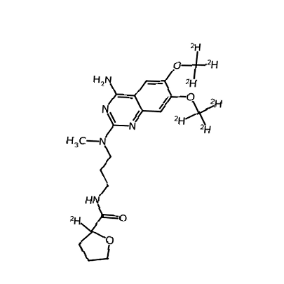 [2H]C([2H])([2H])Oc1cc2nc(N(C)CCCNC(=O)C3([2H])CCCO3)nc(N)c2cc1OC([2H])([2H])[2H]